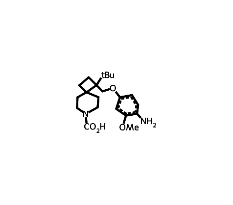 COc1cc(OCC2(C(C)(C)C)CCC23CCN(C(=O)O)CC3)ccc1N